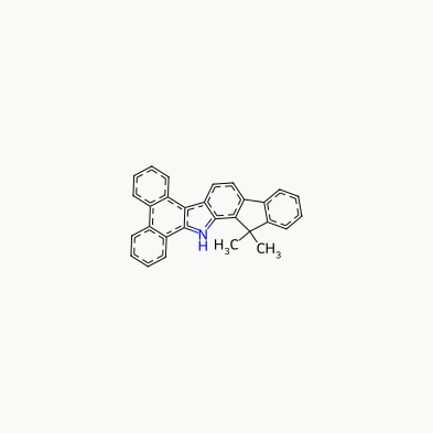 CC1(C)c2ccccc2-c2ccc3c([nH]c4c5ccccc5c5ccccc5c34)c21